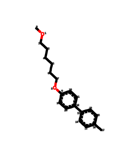 COCCCCCCOc1ccc(-c2ccc(C)cc2)cc1